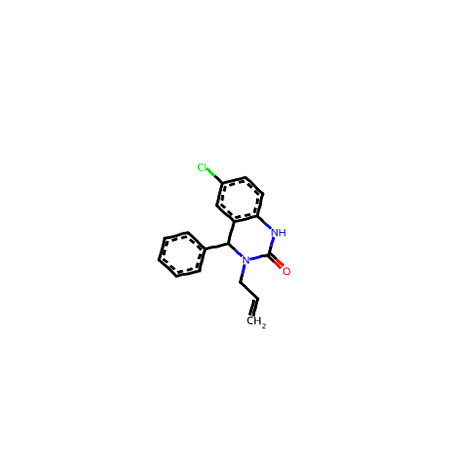 C=CCN1C(=O)Nc2ccc(Cl)cc2C1c1ccccc1